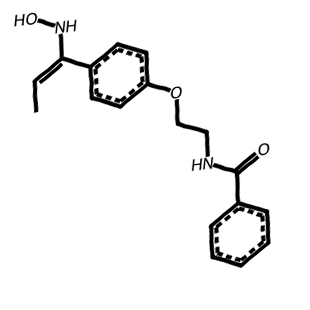 C/C=C(/NO)c1ccc(OCCNC(=O)c2ccccc2)cc1